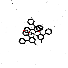 Cc1cc(-c2ccccc2)c(-c2ccccc2)c([Si](Cl)(c2cc(C)cc(-c3ccccc3)c2-c2ccccc2)c2cc(C)cc(-c3ccccc3)c2-c2ccccc2)c1